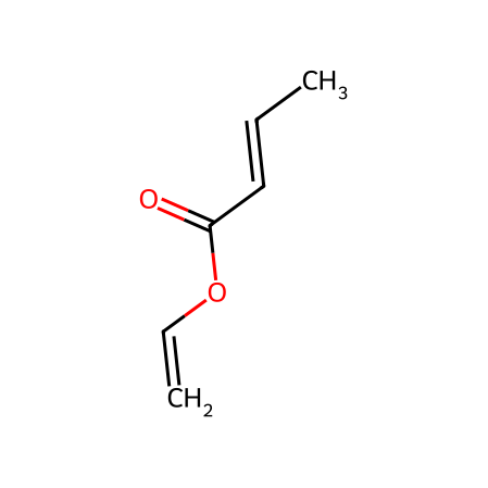 C=COC(=O)C=CC